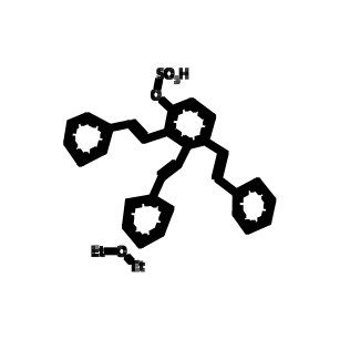 CCOCC.O=S(=O)(O)Oc1ccc(/C=C/c2ccccc2)c(/C=C/c2ccccc2)c1/C=C/c1ccccc1